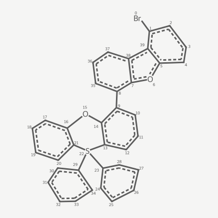 Brc1cccc2oc3c(-c4cccc5c4Oc4ccccc4S5(c4ccccc4)c4ccccc4)cccc3c12